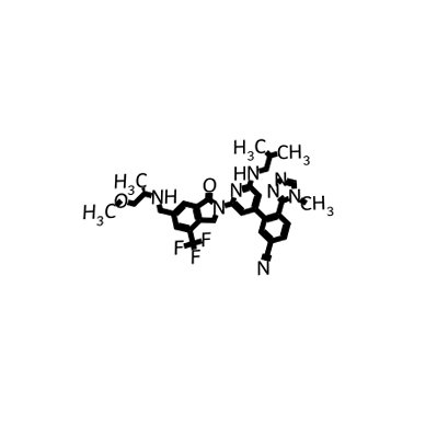 COC[C@@H](C)NCc1cc2c(c(C(F)(F)F)c1)CN(c1cc(-c3cc(C#N)ccc3-c3nncn3C)cc(NCC(C)C)n1)C2=O